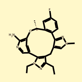 CCc1nn(CC)c2c1Cc1cn(C)nc1-c1ccc(F)cc1[C@@H](C)Oc1cc-2cnc1N